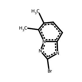 Cc1ccc2nc(Br)nn2c1C